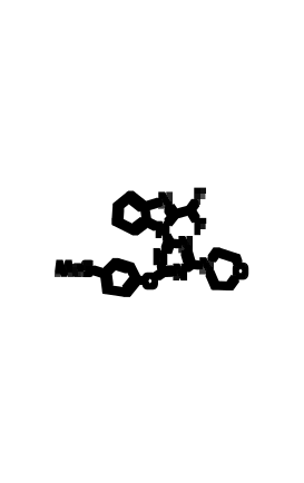 CSc1ccc(Oc2nc(N3CCOCC3)nc(-n3c(C(F)F)nc4ccccc43)n2)cc1